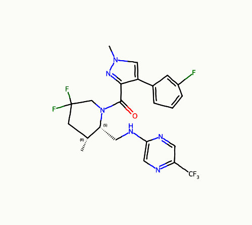 C[C@@H]1CC(F)(F)CN(C(=O)c2nn(C)cc2-c2cccc(F)c2)[C@@H]1CNc1cnc(C(F)(F)F)cn1